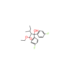 CCOC(=O)C(C(C)CC)C(O)(c1ccc(F)cc1)c1ccc(F)cc1